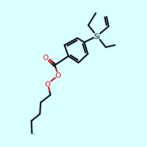 [CH2]CCCCOOC(=O)c1ccc([Si](C=C)(CC)CC)cc1